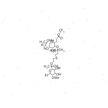 CCC1O[C@@H](C(C)(C)OCCSCCC(C)(C)O[C@@H]2C(CCC(=O)OCC(F)(F)F)O[C@@H](C(C)(C)OC)[C@@H](O)[C@H]2O)[C@@H](O)[C@@H](O)[C@@H]1OC